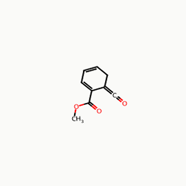 COC(=O)C1=CC=CCC1=C=O